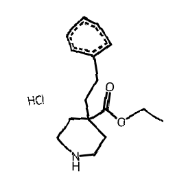 CCOC(=O)C1(CCc2ccccc2)CCNCC1.Cl